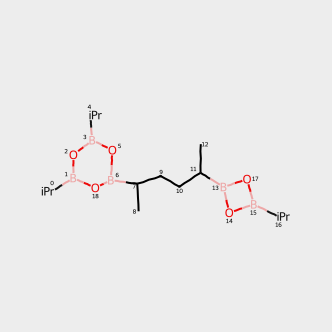 CC(C)B1OB(C(C)C)OB(C(C)CCC(C)B2OB(C(C)C)O2)O1